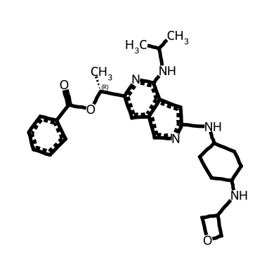 CC(C)Nc1nc([C@@H](C)OC(=O)c2ccccc2)cc2cnc(NC3CCC(NC4COC4)CC3)cc12